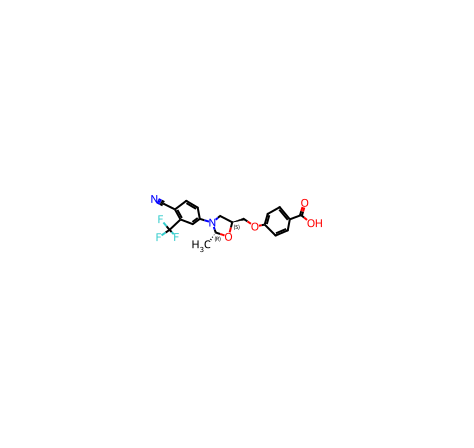 C[C@H]1O[C@H](COc2ccc(C(=O)O)cc2)CN1c1ccc(C#N)c(C(F)(F)F)c1